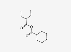 CCC(CC)C(=O)OC(=O)C1CCCCC1